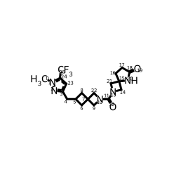 Cn1nc(CC2CC3(C2)CN(C(=O)N2CC4(CCC(=O)N4)C2)C3)cc1C(F)(F)F